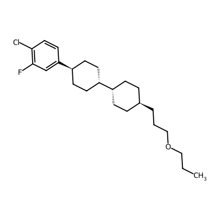 CCCOCCC[C@H]1CC[C@H]([C@H]2CC[C@H](c3ccc(Cl)c(F)c3)CC2)CC1